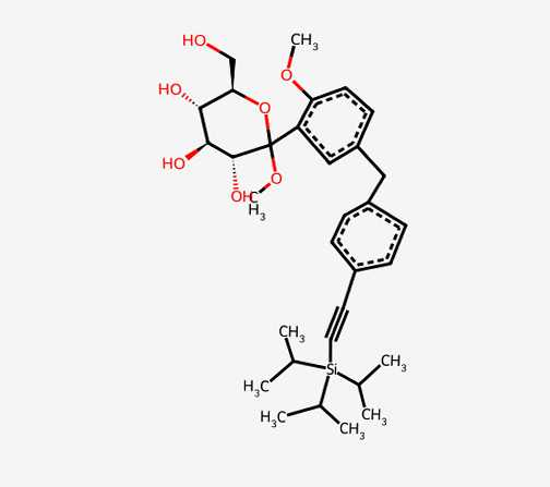 COc1ccc(Cc2ccc(C#C[Si](C(C)C)(C(C)C)C(C)C)cc2)cc1C1(OC)O[C@H](CO)[C@@H](O)[C@H](O)[C@H]1O